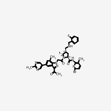 CC(=O)c1nn(CC(=O)N2[C@H](I)[C@@H](CNCc3ccccc3F)C[C@H]2C(=O)Nc2nc(Br)ccc2C)c2c(C)cc(-c3cnc(C)nc3)cc12